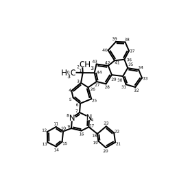 CC1(C)c2ccc(-c3nc(-c4ccccc4)cc(-c4ccccc4)n3)cc2-c2cc3c4ccccc4c4ccccc4c3cc21